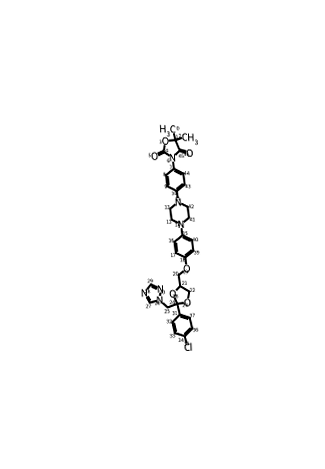 CC1(C)OC(=O)N(c2ccc(N3CCN(c4ccc(OCC5COC(Cn6cncn6)(c6ccc(Cl)cc6)O5)cc4)CC3)cc2)C1=O